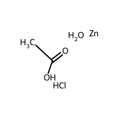 CC(=O)O.Cl.O.[Zn]